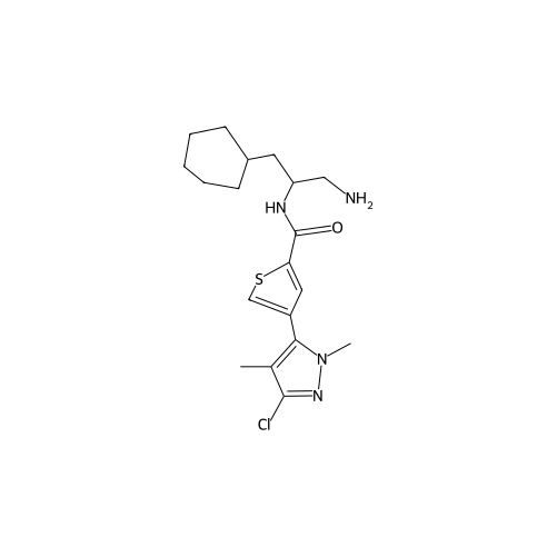 Cc1c(Cl)nn(C)c1-c1csc(C(=O)NC(CN)CC2CCCCC2)c1